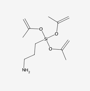 C=C(C)O[Si](CCCN)(OC(=C)C)OC(=C)C